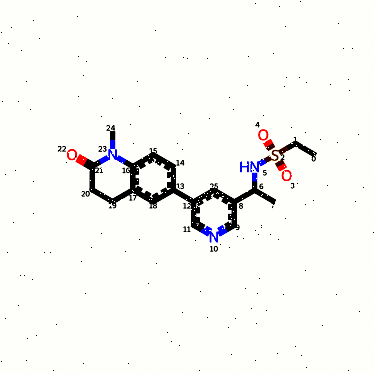 CCS(=O)(=O)NC(C)c1cncc(-c2ccc3c(c2)CCC(=O)N3C)c1